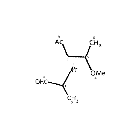 CC(C)C(C)C=O.COC(C)CC(C)=O